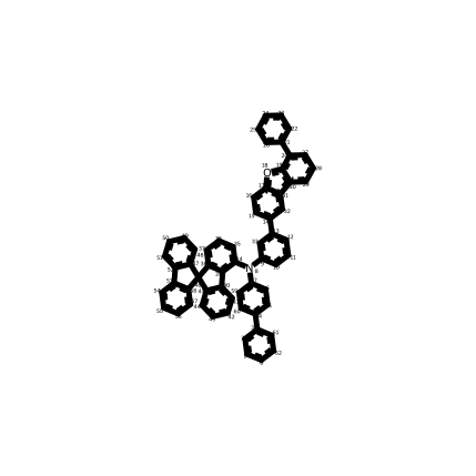 c1ccc(-c2ccc(N(c3cccc(-c4ccc5oc6c(-c7ccccc7)cccc6c5c4)c3)c3cccc4c3-c3ccccc3C43c4ccccc4-c4ccccc43)cc2)cc1